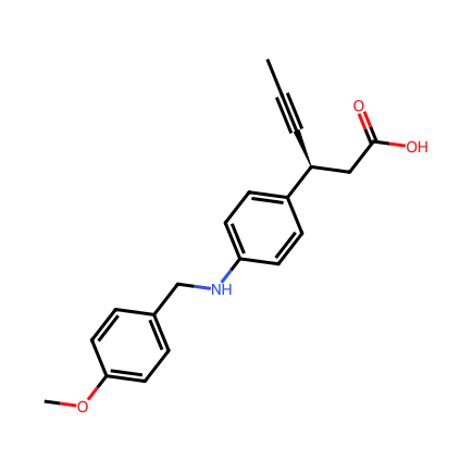 CC#C[C@@H](CC(=O)O)c1ccc(NCc2ccc(OC)cc2)cc1